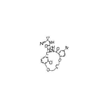 N#CC1(NC(=O)O[C@H]2Cc3ccc(c(Cl)c3)OCCCCOc3ccc(Br)cc3C(=O)N2)CC1